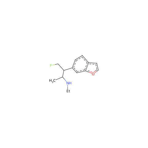 CCNC(C)C(CF)c1ccc2ccoc2c1